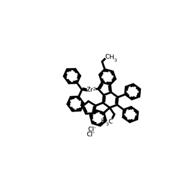 CCc1ccc2c(c1)=[C]([Zr+2]=[C](c1ccccc1)c1ccccc1)C1=C(C3=CC=CC3)C(CC)(c3ccccc3)C(c3ccccc3)=C(c3ccccc3)C=21.[Cl-].[Cl-]